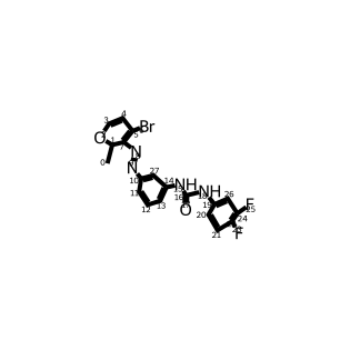 CC1OC=CC(Br)=C1N=Nc1cccc(NC(=O)Nc2ccc(F)c(F)c2)c1